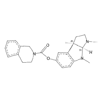 CN1CC[C@]2(C)c3cc(OC(=O)N4CCc5ccccc5C4)ccc3N(C)[C@H]12